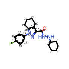 O=C(NNC1CCCCC1)c1nn(-c2ccc(F)cc2)c2c1CCCC2